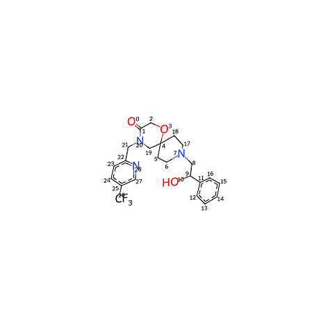 O=C1COC2(CCN(CC(O)c3ccccc3)CC2)CN1Cc1ccc(C(F)(F)F)cn1